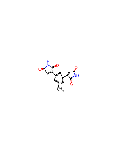 Cc1cc(C2=CC(=O)NC2=O)cc(C2=CC(=O)NC2=O)c1